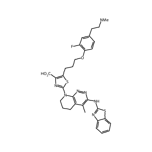 CNCCc1ccc(OCCCc2sc(N3CCCc4c3nnc(Nc3nc5ccccc5s3)c4C)nc2C(=O)O)c(F)c1